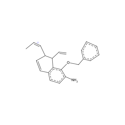 C=CC1c2c(ccc(N)c2OCc2ccccc2)C=CC1/C=C\C